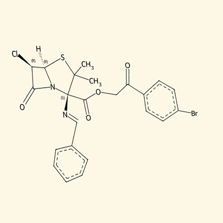 CC1(C)S[C@@H]2[C@H](Cl)C(=O)N2[C@@]1(N=Cc1ccccc1)C(=O)OCC(=O)c1ccc(Br)cc1